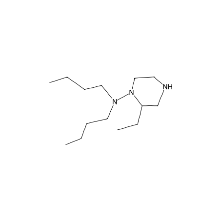 CCCCN(CCCC)N1CCNCC1CC